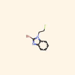 FCCn1c(Br)nc2ccccc21